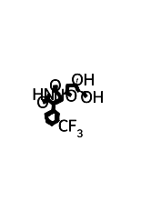 O=c1[nH]c(=O)n([C@H]2C[C@H](O)[C@@H](CO)O2)cc1-c1cccc(C(F)(F)F)c1